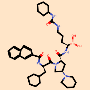 O=C(NCCC[C@H](NC(=O)[C@@H]1C[C@@H](N2CCCCC2)CN1C(=O)[C@@H](CC1CCCCC1)NC(=O)c1ccc2ccccc2c1)B(O)O)NC1CCCCC1